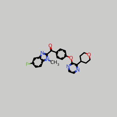 Cn1c(C(=O)c2ccc(Oc3nccnc3C3CCOCC3)cc2)nc2cc(F)ccc21